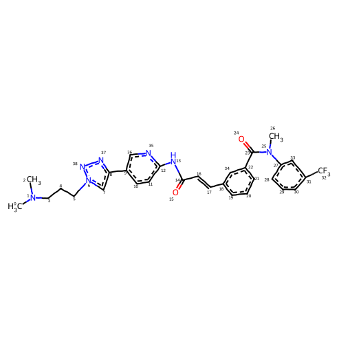 CN(C)CCCn1cc(-c2ccc(NC(=O)/C=C/c3cccc(C(=O)N(C)c4cccc(C(F)(F)F)c4)c3)nc2)nn1